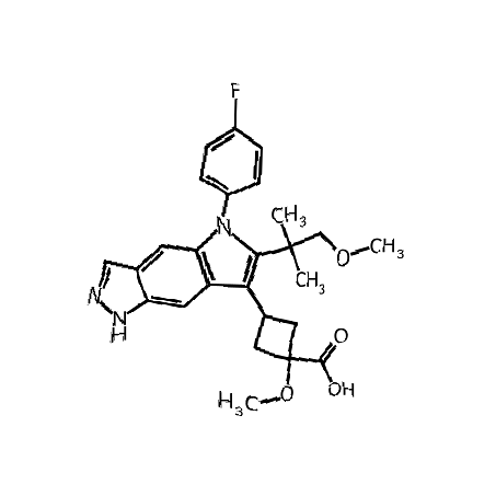 COCC(C)(C)c1c(C2CC(OC)(C(=O)O)C2)c2cc3[nH]ncc3cc2n1-c1ccc(F)cc1